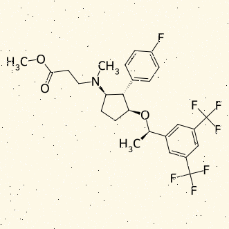 COC(=O)CCN(C)[C@@H]1CC[C@H](O[C@H](C)c2cc(C(F)(F)F)cc(C(F)(F)F)c2)[C@H]1c1ccc(F)cc1